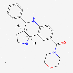 O=C(c1ccc2c(c1)[C@H]1NCC[C@H]1C(c1ccccc1)N2)N1CCOCC1